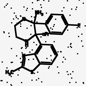 CCCC1(c2cccc3sc(C)nc23)NCC[N]C1(N)c1ccc(F)cc1